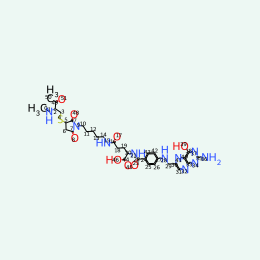 CNC(CSC1CC(=O)N(CCCCCNC(=O)CCC(NC(=O)c2ccc(NCc3cnc4nc(N)nc(O)c4n3)cc2)C(=O)O)C1=O)C(C)=O